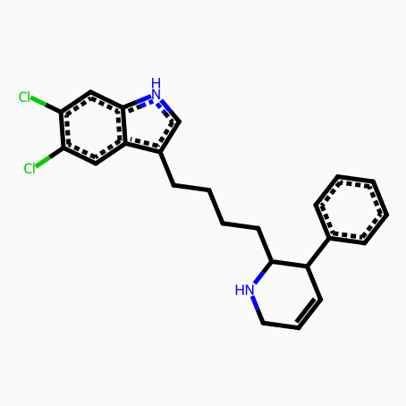 Clc1cc2[nH]cc(CCCCC3NCC=CC3c3ccccc3)c2cc1Cl